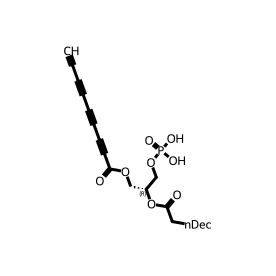 C#CC#CC#CC#CC(=O)OC[C@H](COP(=O)(O)O)OC(=O)CCCCCCCCCCC